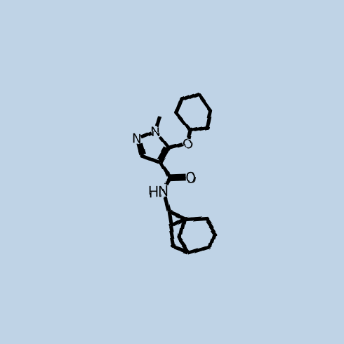 Cn1ncc(C(=O)NC2C3CC4CCCC32C4)c1OC1CCCCC1